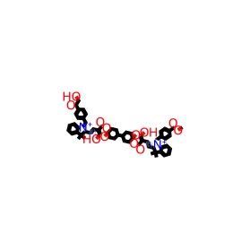 COC(=O)c1ccc(C[N+]2=C(/C=C/C3=C(O)OC4(CCC(C5CCC6(CC5)OC(=O)C(/C=C/C5=[N+](Cc7ccc(C(=O)CO)cc7)c7ccccc7C5(C)C)=C(O)O6)CC4)OC3=O)C(C)(C)c3ccccc32)cc1